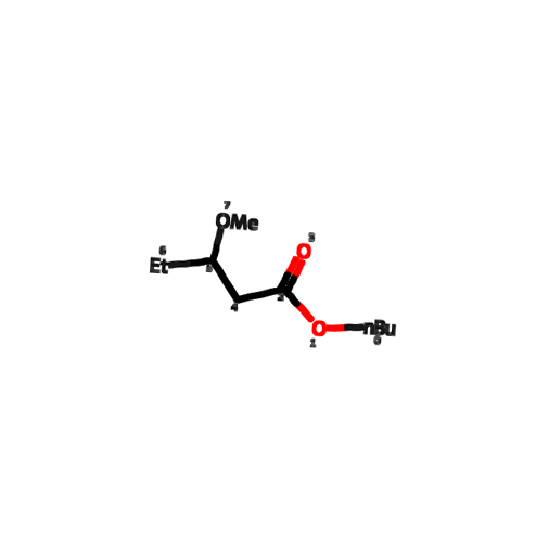 CCCCOC(=O)CC(CC)OC